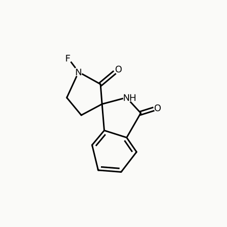 O=C1NC2(CCN(F)C2=O)c2ccccc21